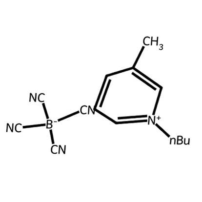 CCCC[n+]1cccc(C)c1.N#C[B-](C#N)(C#N)C#N